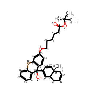 CC(C)(C)OC(=O)CCCCCOc1ccc2c(c1)Sc1ccccc1C2(O)C1=CC2CC=CC[C@@]2(C)C=C1